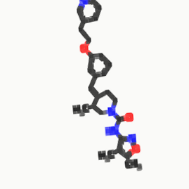 Cc1onc(NC(=O)N2CC/C(=C\c3cccc(OCCc4cccnc4)c3)C(C)C2)c1C